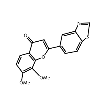 COc1ccc2c(=O)cc(-c3ccc4scnc4c3)oc2c1OC